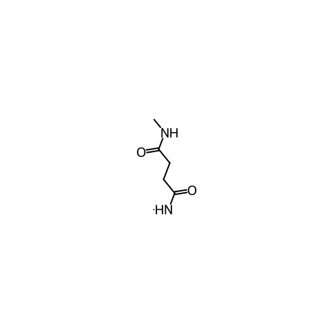 CNC(=O)CCC([NH])=O